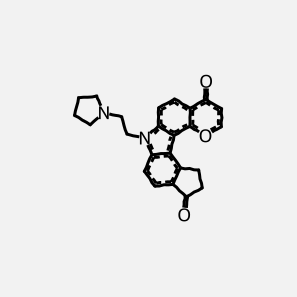 O=C1CCc2c1ccc1c2c2c3occc(=O)c3ccc2n1CCN1CCCC1